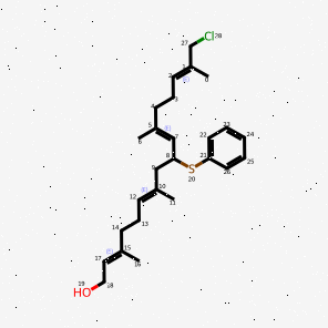 C/C(=C\CC/C(C)=C/C(C/C(C)=C/CC/C(C)=C/CO)Sc1ccccc1)CCl